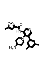 Cc1cc(C)cc(-c2cncc(NC(=O)c3cc(C)on3)c2N2CCC(N)CC2)c1